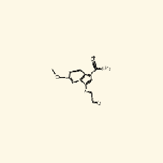 COc1ccc2c(c1)c(N=CC=O)cn2C(N)=O